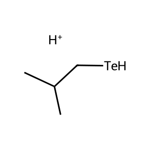 CC(C)C[TeH].[H+]